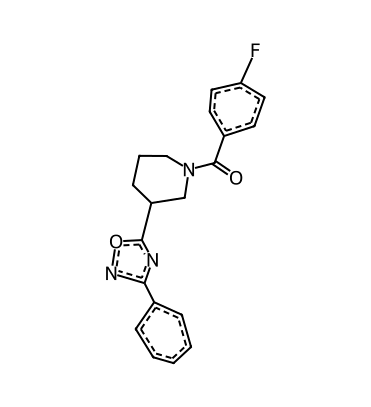 O=C(c1ccc(F)cc1)N1CCCC(c2nc(-c3ccccc3)no2)C1